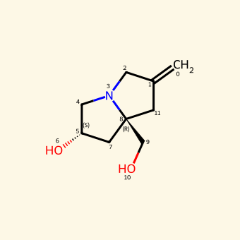 C=C1CN2C[C@@H](O)C[C@@]2(CO)C1